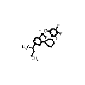 C=CCC(C)c1ccc(C(F)(F)Oc2cc(F)c(F)c(F)c2)c(C2CCCCC2)c1